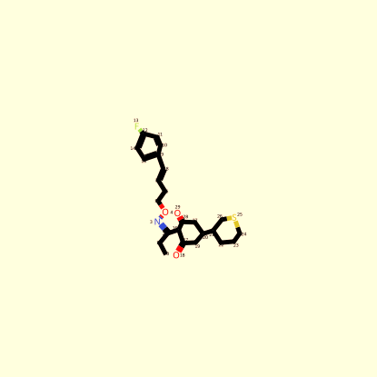 CCC(=NOCCC=Cc1ccc(F)cc1)C1C(=O)CC(C2CCCSC2)CC1=O